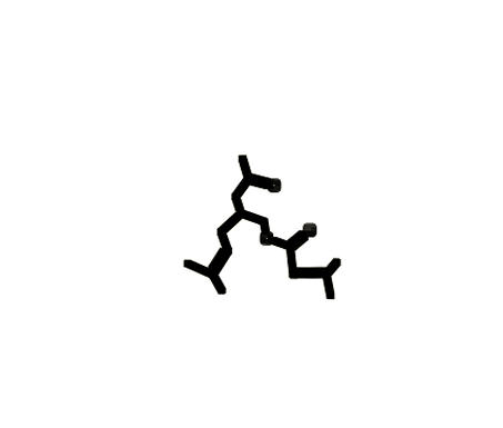 CC(=O)CC(CC=C(C)C)COC(=O)C=C(C)C